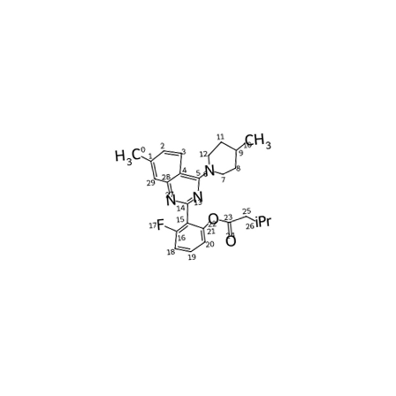 Cc1ccc2c(N3CCC(C)CC3)nc(-c3c(F)cccc3OC(=O)CC(C)C)nc2c1